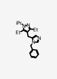 CCc1nn(C(C)C)c(CC)c1Cc1cncn1Cc1ccccc1